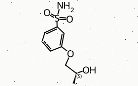 [CH2][C@H](O)COc1cccc(S(N)(=O)=O)c1